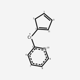 C1=CC[C]([Cr][c]2ccccn2)=C1